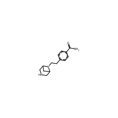 NC(=O)c1ccc(CCN2C3CNCC2C3)cc1